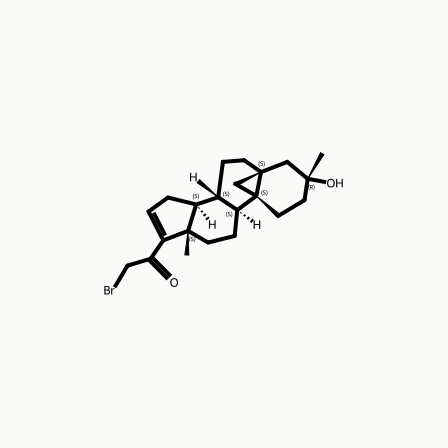 C[C@@]1(O)CC[C@@]23C[C@@]2(CC[C@@H]2[C@@H]3CC[C@]3(C)C(C(=O)CBr)=CC[C@@H]23)C1